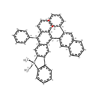 C[Si]1(C)c2ccccc2-c2cc3c(-c4cc5ccccc5cc4-c4ccccc4)c4ccccc4c(-c4ccccc4)c3cc21